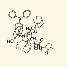 CC(CC(C)(CC(C)(CC(CC1C2CCC(C2)C1C)C(=O)OC1(C)C2CC3CC(C2)CC1C3)C(=O)OC1CCOC1=O)C(=O)OC12CC3CC(CC(O)(C3)C1)C2)C(=O)Oc1ccc([S+](c2ccccc2)c2ccccc2)cc1